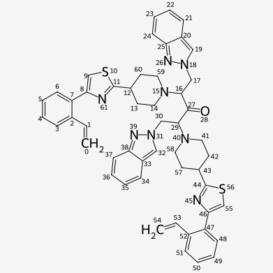 C=Cc1ccccc1-c1csc(C2CCN(C(Cn3cc4ccccc4n3)C(=O)C(Cn3cc4ccccc4n3)N3CCC(c4nc(-c5ccccc5C=C)cs4)CC3)CC2)n1